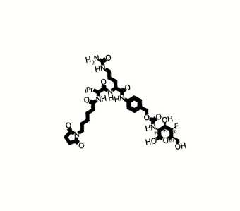 CC(C)C(NC(=O)CCCCCN1C(=O)CCC1=O)C(=O)NC(CCCNC(N)=O)C(=O)Nc1ccc(COC(=O)N[C@H]2C(O)O[C@H](CO)[C@@H](F)[C@@H]2O)cc1